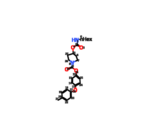 CCCCCCNC(=O)OC1CCN(C(=O)Oc2ccc(Oc3ccc(C)cc3)cc2)CC1